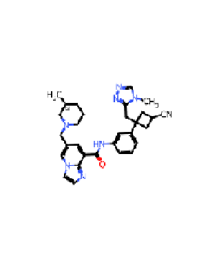 C[C@H]1CCCN(Cc2cc(C(=O)Nc3cccc(C4(Cc5nncn5C)CC(C#N)C4)c3)c3nccn3c2)C1